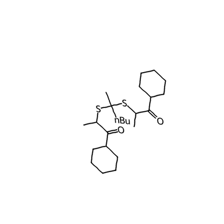 CCCCC(C)(SC(C)C(=O)C1CCCCC1)SC(C)C(=O)C1CCCCC1